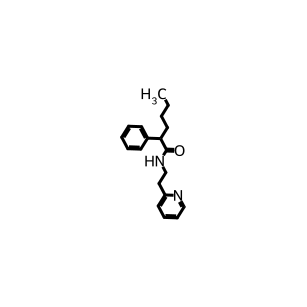 CCCCC(C(=O)NCCc1ccccn1)c1ccccc1